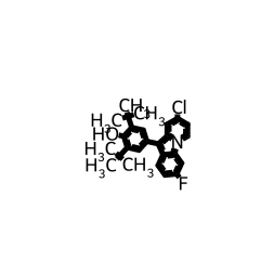 CC(C)(C)c1cc(-c2c3ccc(F)cc3n3ccc(Cl)cc23)cc(C(C)(C)C)c1O